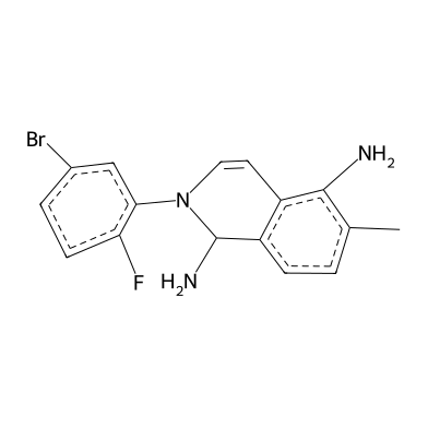 Cc1ccc2c(c1N)C=CN(c1cc(Br)ccc1F)C2N